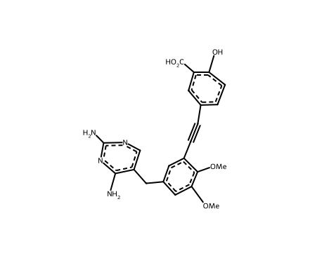 COc1cc(Cc2cnc(N)nc2N)cc(C#Cc2ccc(O)c(C(=O)O)c2)c1OC